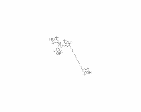 CC(C)(C)c1cc(CCCCCCCCCCCCCCCCCC(=O)Oc2c(C(C)(C)C)cc(OP(Oc3cc(C(C)(C)C)c(O)c(C(C)(C)C)c3)Oc3cc(C(C)(C)C)c(O)c(C(C)(C)C)c3)cc2C(C)(C)C)cc(C(C)(C)C)c1O